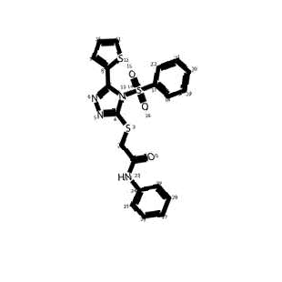 O=C(CSc1nnc(-c2cccs2)n1S(=O)(=O)c1ccccc1)Nc1ccccc1